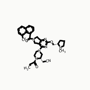 C=CC(=O)N1CCN(c2nc(OC[C@@H]3CCCN3C)nc3c2CN(C(=O)c2cccc4cccc(C(F)(F)F)c24)C3)C[C@@H]1CC#N